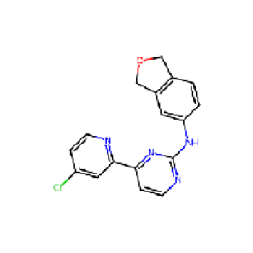 Clc1ccnc(-c2ccnc(Nc3ccc4c(c3)COC4)n2)c1